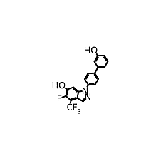 Oc1cccc(-c2ccc(-n3ncc4c(C(F)(F)F)c(F)c(O)cc43)cc2)c1